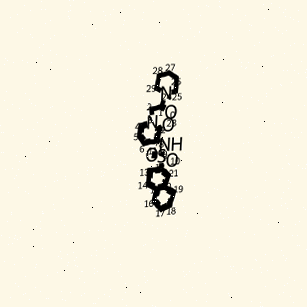 O=C(Cn1cccc(NS(=O)(=O)c2ccc3ccccc3c2)c1=O)N1CCCCC1